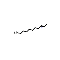 C/C=C/CCCCCCCN